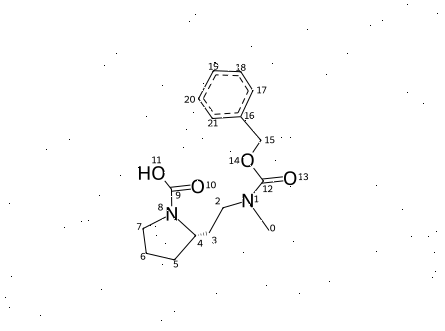 CN(CC[C@@H]1CCCN1C(=O)O)C(=O)OCc1ccccc1